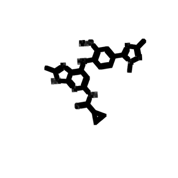 COc1cc(-c2nc(C)nn2C)ccc1Nc1cc(NC(=O)C2CC2)nc2[nH]c(C)nc12